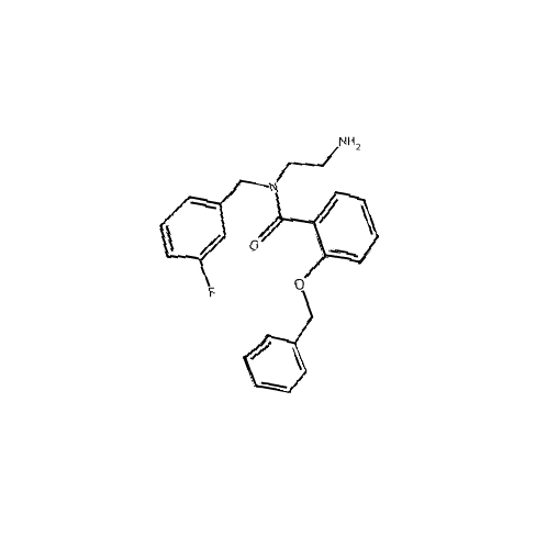 NCCN(Cc1cccc(F)c1)C(=O)c1ccccc1OCc1ccccc1